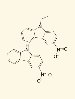 CCn1c2ccccc2c2cc([N+](=O)[O-])ccc21.O=[N+]([O-])c1ccc2[nH]c3ccccc3c2c1